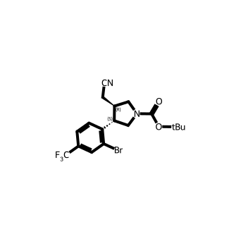 CC(C)(C)OC(=O)N1C[C@H](CC#N)[C@@H](c2ccc(C(F)(F)F)cc2Br)C1